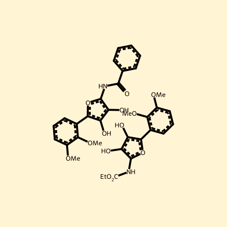 CCOC(=O)Nc1oc(-c2cccc(OC)c2OC)c(O)c1O.COc1cccc(-c2oc(NC(=O)c3ccccc3)c(O)c2O)c1OC